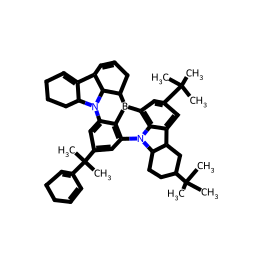 CC(C)(C)c1cc2c3c(c1)C1CC(C(C)(C)C)CCC1N3c1cc(C(C)(C)C3=CCCC=C3)cc3c1B2C1CC=CC2C4=CCCCC4N3C12